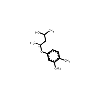 COc1cc(O[C@@H](C)CC(C)O)ccc1C